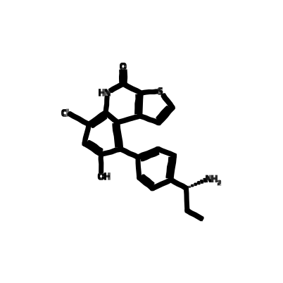 CC[C@@H](N)c1ccc(-c2c(O)cc(Cl)c3[nH]c(=O)c4sccc4c23)cc1